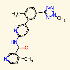 Cc1ccncc1C(=O)Nc1ccc(-c2cc(-c3nnn(C)n3)ccc2C)cn1